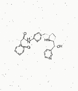 C[C@H](C(=O)Nc1ccc(C[C@@H]2CC[C@H]([C@H](O)c3cccnc3)N2)cc1)n1ccccc1=O